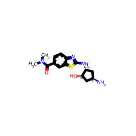 CN(C)C(=O)c1ccc2nc(N[C@@H]3C[C@@H](N)C[C@H]3O)sc2c1